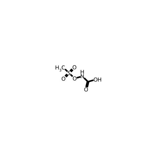 CS(=O)(=O)ONC(=O)O